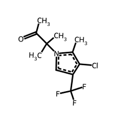 CC(=O)C(C)(C)n1cc(C(F)(F)F)c(Cl)c1C